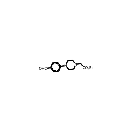 CCOC(=O)CN1CCN(c2ccc(C=O)cc2)CC1